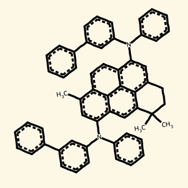 Cc1cc(N(c2ccccc2)c2cccc(-c3ccccc3)c2)c2cc3c4c(cc(N(c5ccccc5)c5cccc(-c6ccccc6)c5)c5ccc1c2c54)CCC3(C)C